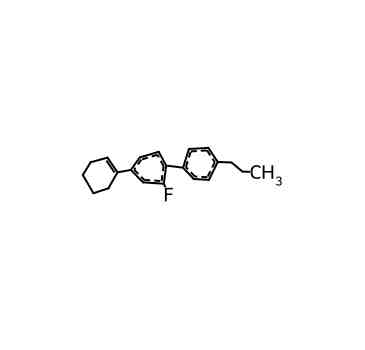 CCCc1ccc(-c2ccc(C3=CCCCC3)cc2F)cc1